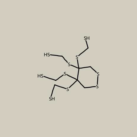 SCSC1(SCS)CSSCC1(SCS)SCS